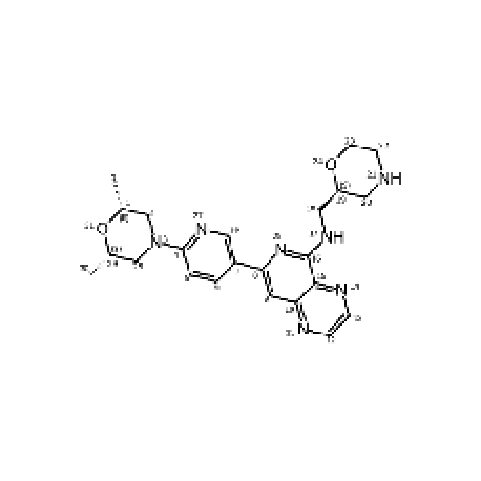 C[C@@H]1CN(c2ccc(-c3cc4nccnc4c(NC[C@@H]4CNCCO4)n3)cn2)C[C@H](C)O1